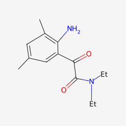 CCN(CC)C(=O)C(=O)c1cc(C)cc(C)c1N